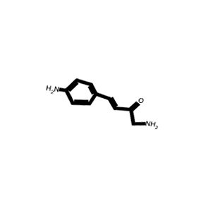 NCC(=O)C=Cc1ccc(N)cc1